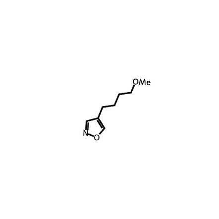 COCCCCc1cnoc1